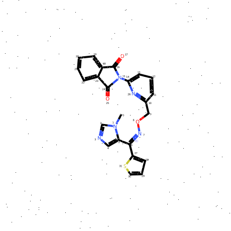 Cn1cncc1/C(=N\OCc1cccc(N2C(=O)c3ccccc3C2=O)n1)c1cccs1